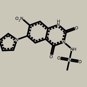 CS(=O)(=O)Nn1c(=O)[nH]c2cc([N+](=O)[O-])c(-n3cccc3)cc2c1=O